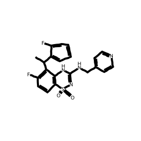 CC(c1ccccc1F)c1c(F)ccc2c1NC(NCc1ccncc1)=NS2(=O)=O